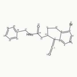 O=C=C1c2cncc(Br)c2CCC1CC(=O)NCc1ccccc1